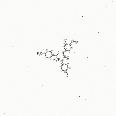 CCOc1ccc(N(CCc2ccc(C(F)(F)F)cc2)C(=O)[C@@H](N)c2ccc(F)cc2)cc1Cl